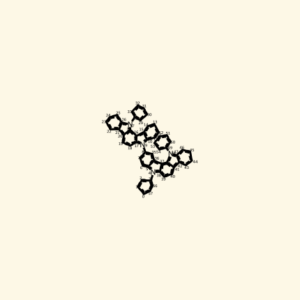 c1ccc(-n2c3ccc(-n4c5ccccc5c5c4ccc4c6ccccc6n(-c6ccccc6)c45)cc3c3c2ccc2c4ccccc4n(-c4ccccc4)c23)cc1